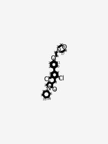 O=C1C(Cc2c(Cl)cc(-c3ccc(OCCN4CCOCC4)cc3)cc2Cl)CCN1C1CCCCC1